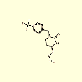 COCC1CCN(Cc2ccc(C(F)(F)F)cc2)C(=O)N1